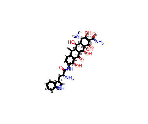 CC1c2ccc(NC(=O)[C@@H](N)Cc3c[nH]c4ccccc34)c(O)c2C(=O)C2=C(O)[C@]3(O)C(=O)C(C(N)=O)=C(O)[C@@H](N(C)C)C3C(O)C21